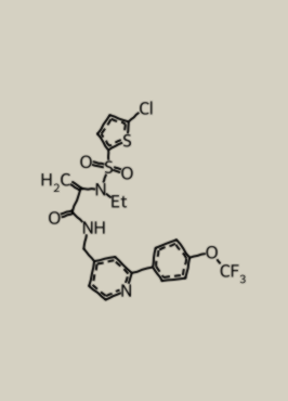 C=C(C(=O)NCc1ccnc(-c2ccc(OC(F)(F)F)cc2)c1)N(CC)S(=O)(=O)c1ccc(Cl)s1